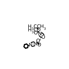 CC(C)(C)OC(=O)N1CCO[C@H](COC(=O)N2CCN(c3ccccc3)CC2)C1